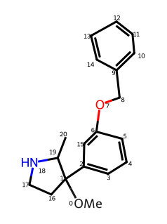 COC1(c2cccc(OCc3ccccc3)c2)CCNC1C